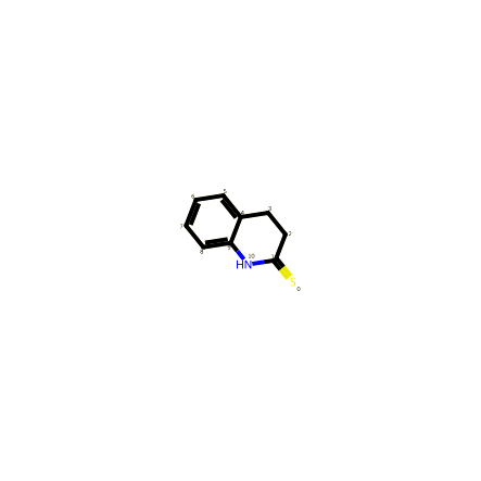 S=C1CCc2cc[c]cc2N1